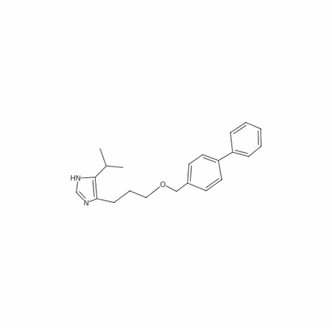 CC(C)c1[nH]cnc1CCCOCc1ccc(-c2ccccc2)cc1